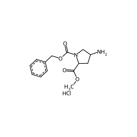 COC(=O)C1CC(N)CN1C(=O)OCc1ccccc1.Cl